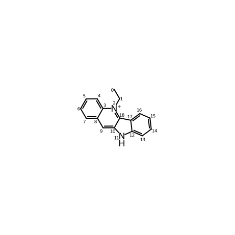 CC[n+]1c2ccccc2cc2[nH]c3ccccc3c21